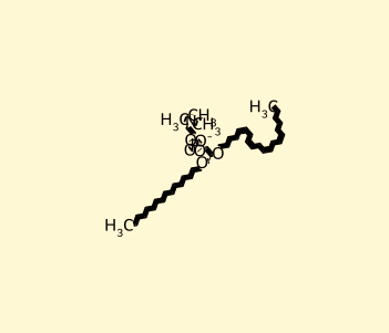 CCCCC/C=C\C/C=C\C/C=C\C/C=C\CCCCO[C@H](COCCCCCCCCCCCCCCCC)COP(=O)([O-])OCC[N+](C)(C)C